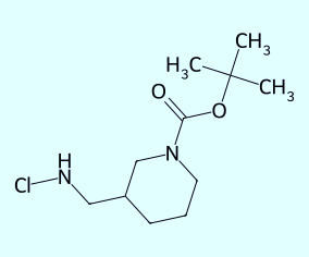 CC(C)(C)OC(=O)N1CCCC(CNCl)C1